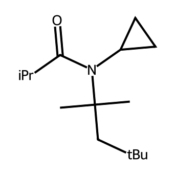 CC(C)C(=O)N(C1CC1)C(C)(C)CC(C)(C)C